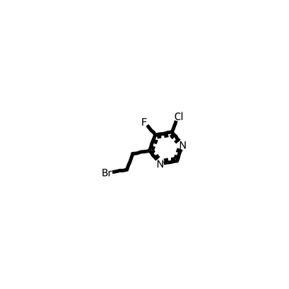 Fc1c(Cl)ncnc1CCBr